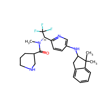 CN(C(=O)C1CCCNC1)[C@@H](c1ccc(NC2Cc3ccccc3C2(C)C)cn1)C(F)(F)F